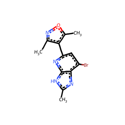 Cc1nc2c(Br)cc(-c3c(C)noc3C)nc2[nH]1